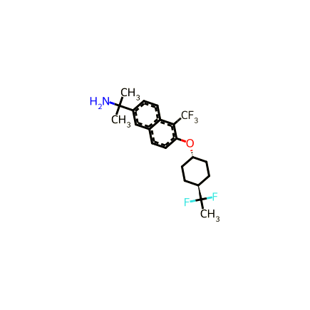 CC(C)(N)c1ccc2c(C(F)(F)F)c(O[C@H]3CC[C@H](C(C)(F)F)CC3)ccc2c1